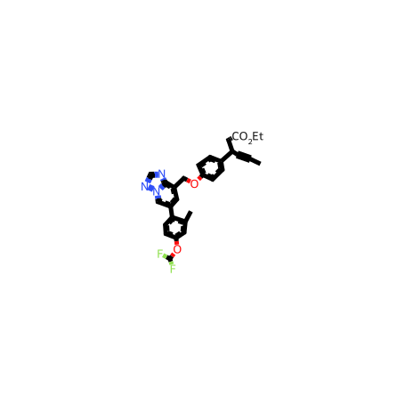 CC#CC(CC(=O)OCC)c1ccc(OCc2cc(-c3ccc(OC(F)F)cc3C)cn3ncnc23)cc1